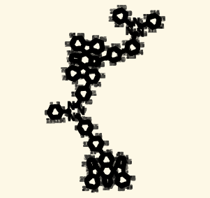 c1ccc(-c2nc(-c3ccc(-c4ccc(-c5ccc6c(c5)C5(c7ccccc7-c7ccccc75)c5ccccc5C65c6ccccc6-c6ccccc65)cc4)cc3)nc(-c3ccc(-c4cccc5c4-c4ccccc4C54c5ccccc5C5(c6ccccc6-c6ccccc65)c5cc(-c6ccc(-c7cccc(-c8nc(-c9ccccc9)nc(-c9ccccc9)n8)c7)cc6)ccc54)cc3)n2)cc1